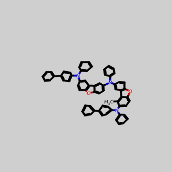 Cc1c(N(c2ccccc2)c2ccc(-c3ccccc3)cc2)ccc2oc3ccc(N(c4ccccc4)c4ccc5oc6ccc(N(c7ccccc7)c7ccc(-c8ccccc8)cc7)cc6c5c4)cc3c12